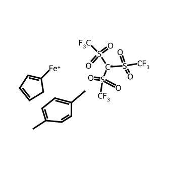 Cc1ccc(C)cc1.O=S(=O)([C-](S(=O)(=O)C(F)(F)F)S(=O)(=O)C(F)(F)F)C(F)(F)F.[Fe+][C]1=CC=CC1